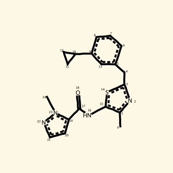 Cc1nc(Cc2cccc(C3CC3)c2)sc1NC(=O)c1ccnn1C